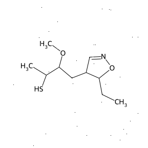 CCC1ON=CC1CC(OC)C(C)S